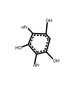 CCCc1c(O)cc(O)c(CCC)c1O